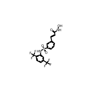 O=C(/C=C/c1cccc(S(=O)(=O)Nc2cc(C(F)(F)F)ccc2C(F)(F)F)c1)NO